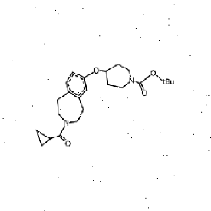 CC(C)(C)OC(=O)N1CCC(Oc2ccc3c(c2)CCN(C(=O)C2CC2)CC3)CC1